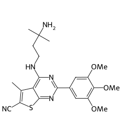 COc1cc(-c2nc(NCCC(C)(C)N)c3c(C)c(C#N)sc3n2)cc(OC)c1OC